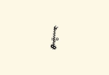 CCN(CC)CCCCCCCCCCCCCCc1cccc2ccccc12.O